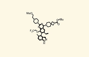 C=Cc1cc2c(N3CCC4(CC3)CN(C(=O)OC(C)(C)C)C4)nc(N3CCN(CCOC)CC3)nc2c(OCC(F)(F)F)c1-c1c(C)ccc2[nH]ncc12